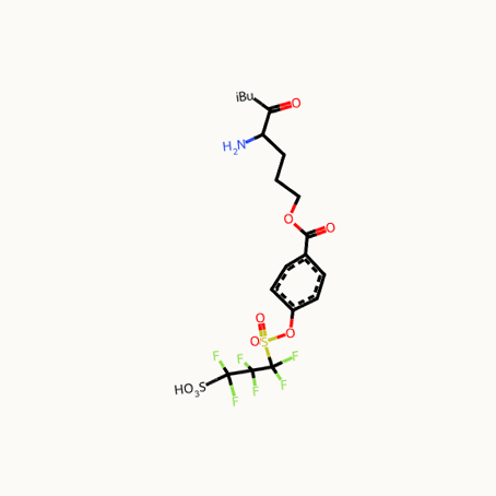 CCC(C)C(=O)C(N)CCCOC(=O)c1ccc(OS(=O)(=O)C(F)(F)C(F)(F)C(F)(F)S(=O)(=O)O)cc1